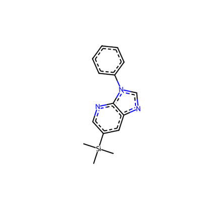 C[Si](C)(C)c1cnc2c(c1)ncn2-c1ccccc1